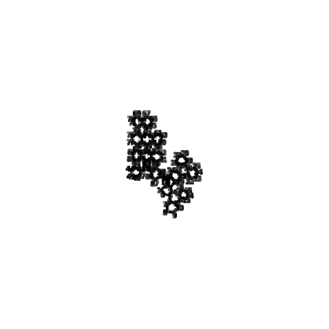 C1=CC2C(C=C1c1ccccc1-c1ccccc1)c1cc(-c3ccccc3-c3ccccc3)ccc1N2c1ccc(N(c2ccccc2)c2c3ccccc3c(-c3c4ccccc4c(-c4cccc5ccccc45)c4ccccc34)c3ccccc23)cc1